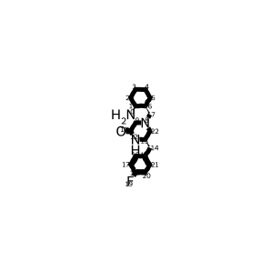 N[C@@H]1CCCC[C@@H]1CN1CC(=O)N[C@@H](Cc2ccc(F)cc2)C1